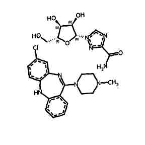 CN1CCN(C2=Nc3cc(Cl)ccc3Nc3ccccc32)CC1.NC(=O)c1ncn([C@@H]2O[C@H](CO)[C@@H](O)[C@H]2O)n1